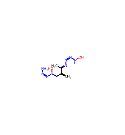 C=C(CN(O)/N=N\N)/C(C)=N/N=N\NO